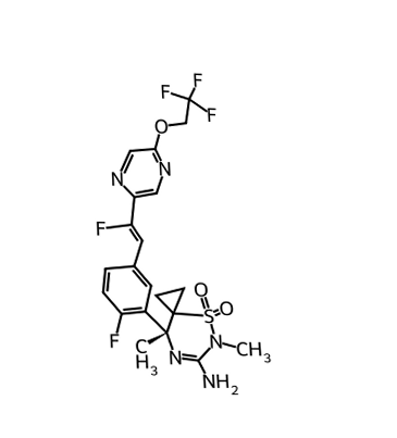 CN1C(N)=N[C@](C)(c2cc(/C=C(\F)c3cnc(OCC(F)(F)F)cn3)ccc2F)C2(CC2)S1(=O)=O